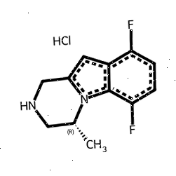 C[C@@H]1CNCc2cc3c(F)ccc(F)c3n21.Cl